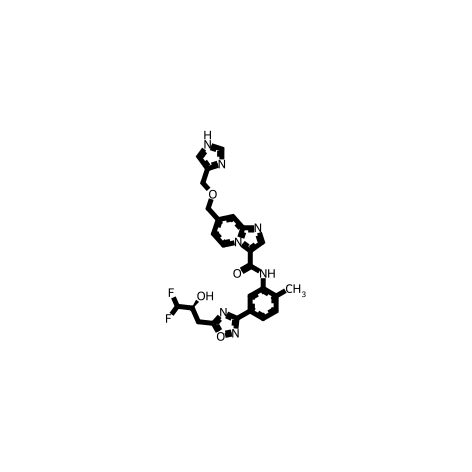 Cc1ccc(-c2noc(C[C@H](O)C(F)F)n2)cc1NC(=O)c1cnc2cc(COCc3c[nH]cn3)ccn12